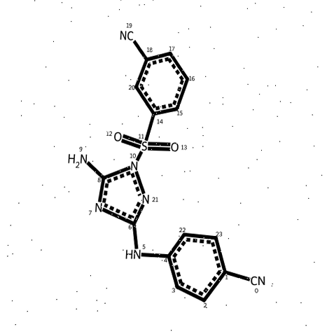 N#Cc1ccc(Nc2nc(N)n(S(=O)(=O)c3cccc(C#N)c3)n2)cc1